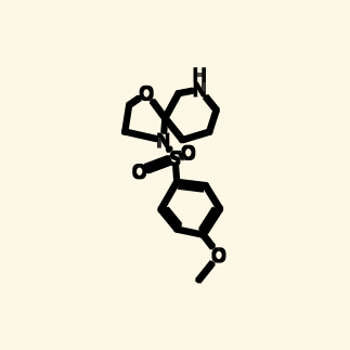 COc1ccc(S(=O)(=O)N2CCOC23CCCNC3)cc1